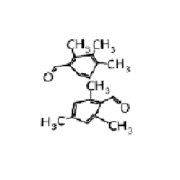 Cc1cc(C)c(C=O)c(C)c1.Cc1ccc(C=O)c(C)c1C